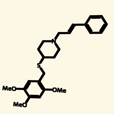 COc1cc(OC)c(OC)cc1CSC1CCN(CC=Cc2ccccc2)CC1